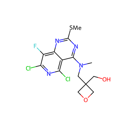 CSc1nc(N(C)CC2(CO)COC2)c2c(Cl)nc(Cl)c(F)c2n1